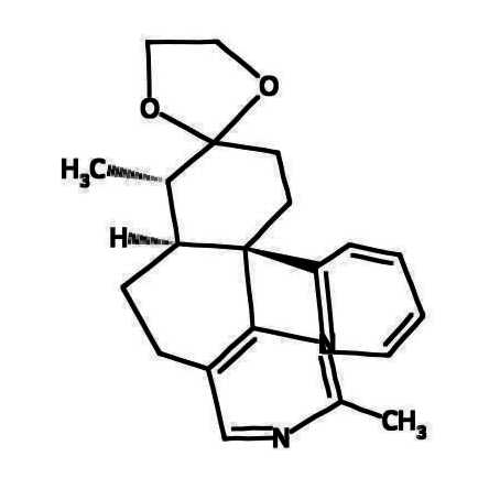 Cc1ncc2c(n1)[C@@]1(c3ccccc3)CCC3(OCCO3)[C@@H](C)[C@@H]1CC2